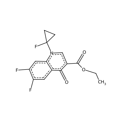 CCOC(=O)c1cn(C2(F)CC2)c2cc(F)c(F)cc2c1=O